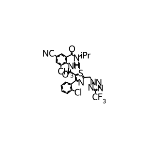 Cc1cc(C#N)cc(C(=O)NC(C)C)c1NC(=O)c1sc(Cn2nnc(C(F)(F)F)n2)nc1-c1ccccc1Cl